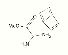 COC(=O)C(N)N.c1cc2ccc1-2